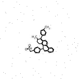 Cc1ccc(C2=c3ccc4c(c3CCC2C)C(c2ccc(C[SH](=O)=O)cc2)C=c2ccccc2=4)cc1